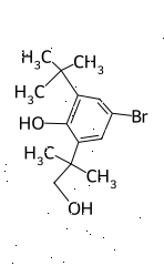 CC(C)(C)c1cc(Br)cc(C(C)(C)CO)c1O